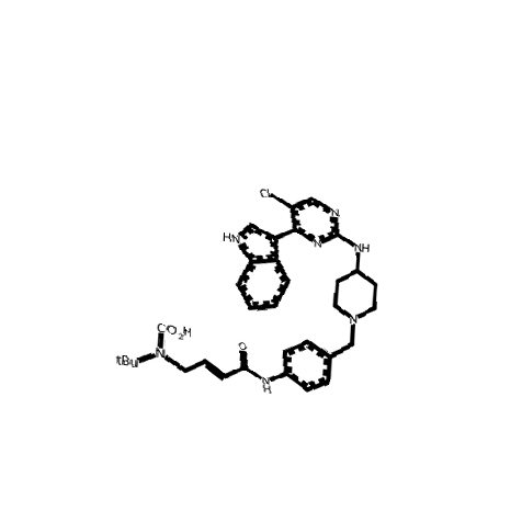 CC(C)(C)N(CC=CC(=O)Nc1ccc(CN2CCC(Nc3ncc(Cl)c(-c4c[nH]c5ccccc45)n3)CC2)cc1)C(=O)O